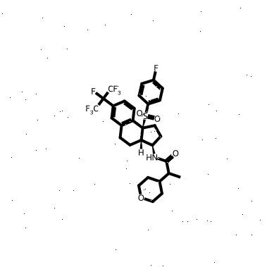 CC(C(=O)N[C@@H]1CC[C@@]2(S(=O)(=O)c3ccc(F)cc3)c3ccc(C(F)(C(F)(F)F)C(F)(F)F)cc3CC[C@@H]12)C1CCOCC1